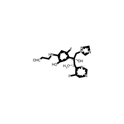 C[C@@H](c1ncncc1F)[C@](O)(Cn1cncn1)c1cc(O)c(NCCC=O)cc1F